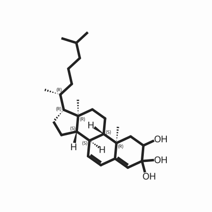 CC(C)CCC[C@@H](C)[C@H]1CC[C@H]2[C@@H]3C=CC4=CC(O)(O)C(O)C[C@]4(C)[C@H]3CC[C@]12C